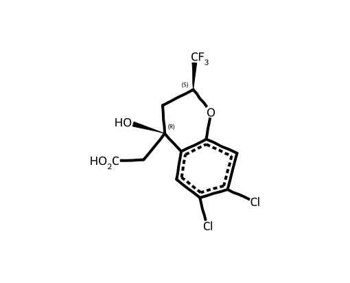 O=C(O)C[C@]1(O)C[C@@H](C(F)(F)F)Oc2cc(Cl)c(Cl)cc21